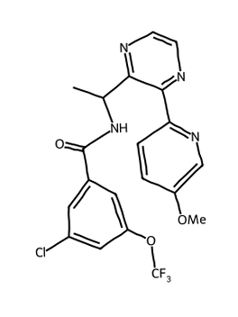 COc1ccc(-c2nccnc2C(C)NC(=O)c2cc(Cl)cc(OC(F)(F)F)c2)nc1